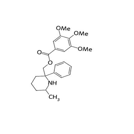 COc1cc(C(=O)OCC2(c3ccccc3)CCCC(C)N2)cc(OC)c1OC